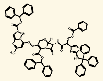 CC1=NC2=CN(C(=O)OC(c3ccccc3)c3ccccc3)NN2C(SCC2=C(C(=O)OC(c3ccccc3)c3ccccc3)N3C(=O)[C@@H](NC(=O)C(=NOC(=O)c4ccccc4)c4csc(NC(c5ccccc5)(c5ccccc5)c5ccccc5)n4)[C@H]3SC2)=C1